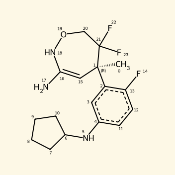 C[C@]1(c2cc(NC3CCCC3)ccc2F)C=C(N)NOCC1(F)F